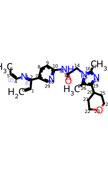 C=C/C(=N\C=C/C)c1ccc(NC(=O)Cn2c(C)nc(C3CCOCC3)c2C)nc1